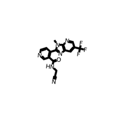 Cn1c(-c2ccncc2C(=O)NCC#N)nc2cc(C(F)(F)F)cnc21